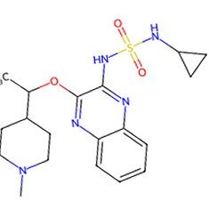 CN1CCC(C(Oc2nc3ccccc3nc2NS(=O)(=O)NC2CC2)C(F)(F)F)CC1